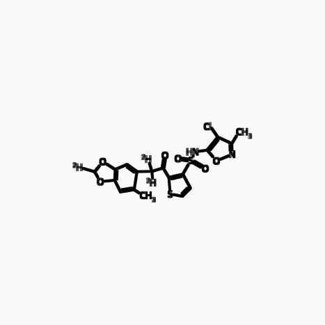 [2H]C1Oc2cc(C)c(C([2H])([2H])C(=O)c3sccc3S(=O)(=O)Nc3onc(C)c3Cl)cc2O1